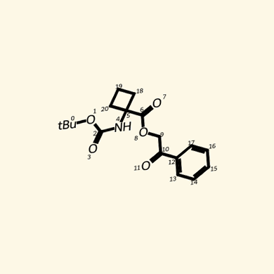 CC(C)(C)OC(=O)NC1(C(=O)OCC(=O)c2ccccc2)CCC1